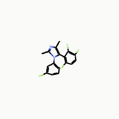 Cc1nc(C)n(-c2cccc(F)c2)c1-c1c(F)ccc(F)c1F